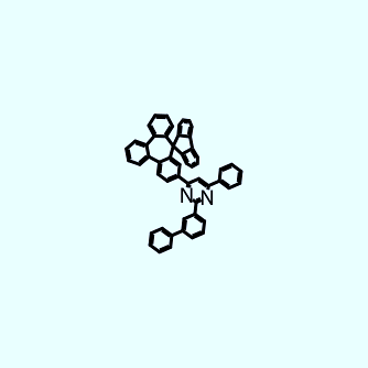 c1ccc(-c2cccc(-c3nc(-c4ccccc4)cc(-c4ccc5c(c4)C4(c6ccccc6-c6ccccc6-5)c5ccccc5-c5ccccc54)n3)c2)cc1